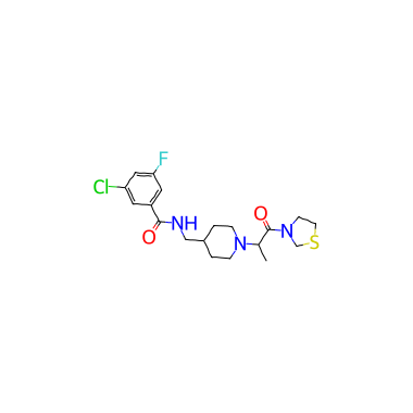 CC(C(=O)N1CCSC1)N1CCC(CNC(=O)c2cc(F)cc(Cl)c2)CC1